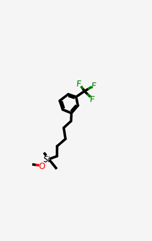 CO[Si](C)(C)CCCCCc1cccc(C(F)(F)F)c1